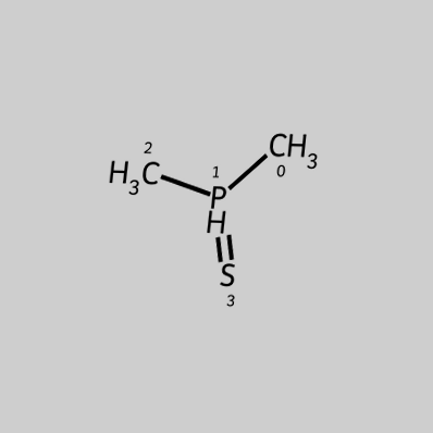 C[PH](C)=S